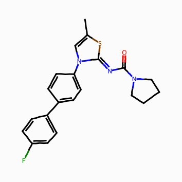 Cc1cn(-c2ccc(-c3ccc(F)cc3)cc2)c(=NC(=O)N2CCCC2)s1